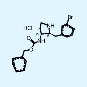 Cl.O=C(N[C@H]1CCN[C@H]1Cc1cccc(Br)c1)OCc1ccccc1